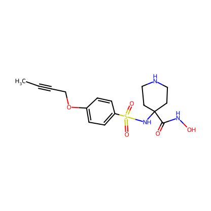 CC#CCOc1ccc(S(=O)(=O)NC2(C(=O)NO)CCNCC2)cc1